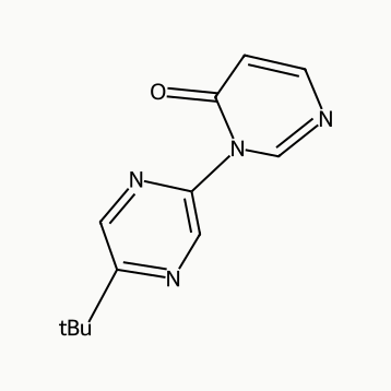 CC(C)(C)c1cnc(-n2cnccc2=O)cn1